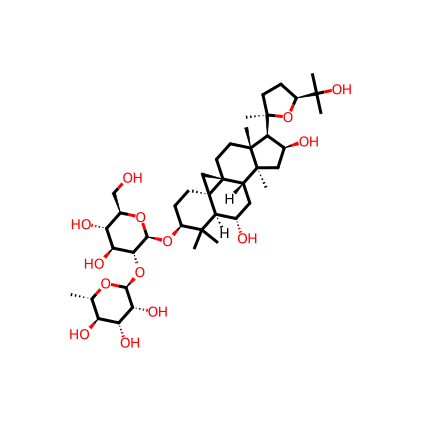 C[C@@H]1O[C@@H](O[C@H]2[C@H](O[C@H]3CC[C@]45C[C@]46CC[C@]4(C)[C@@H]([C@@]7(C)CC[C@@H](C(C)(C)O)O7)[C@@H](O)C[C@@]4(C)[C@@H]6C[C@H](O)[C@H]5C3(C)C)O[C@H](CO)[C@@H](O)[C@@H]2O)[C@H](O)[C@H](O)[C@H]1O